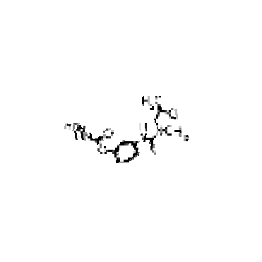 C=C(Cl)CN(C)C(=S)Nc1cccc(OC(=O)NCCCC)c1